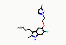 CC(=O)NCCc1c(C)[nH]c2cc(F)c(OCCn3ccc(C)n3)cc12